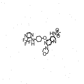 CS(=O)(=O)Nc1cnc2cc(N3CCOCC3)nc(OC3CCC(Nc4nccnc4C(F)(F)F)CC3)c2c1